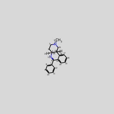 CN1CC[C@H]2N=C(c3ccccc3)c3ccccc3[C@H]2C1